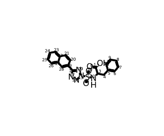 O=C(O)C(Cc1ccccc1)NS(=O)(=O)n1nnc(-c2ccc3ccccc3c2)n1